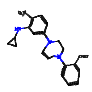 O=Cc1ccccc1N1CCN(c2ccc([N+](=O)[O-])c(NC3CC3)c2)CC1